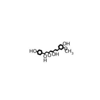 COc1cc(C=CC(O)=CC(=O)CC(O)c2ccc(O)cc2)ccc1O